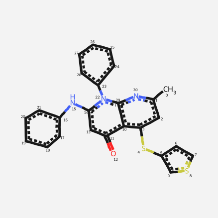 Cc1cc(Sc2ccsc2)c2c(=O)cc(Nc3ccccc3)n(-c3ccccc3)c2n1